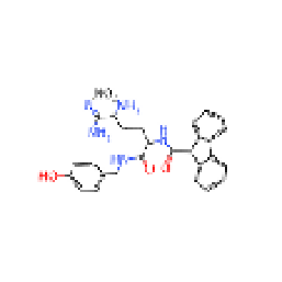 N/C(=N/[N+](=O)[O-])C(N)CCC(NC(=O)C1c2ccccc2-c2ccccc21)C(=O)NCc1ccc(O)cc1